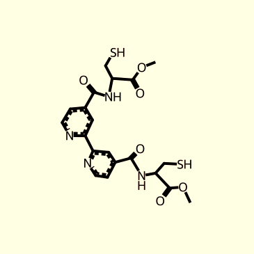 COC(=O)C(CS)NC(=O)c1ccnc(-c2cc(C(=O)NC(CS)C(=O)OC)ccn2)c1